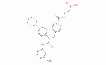 Cc1cccc(NC(=O)N(Cc2ccc(C(=O)NCCC(=O)O)cc2)c2ccc(C3CCCCC3)cc2)c1